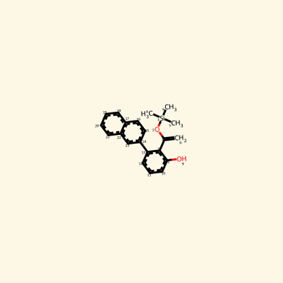 C=C(O[Si](C)(C)C)c1c(O)cccc1-c1ccc2ccccc2c1